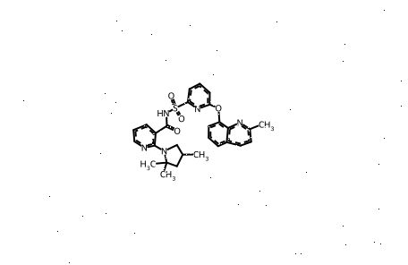 Cc1ccc2cccc(Oc3cccc(S(=O)(=O)NC(=O)c4cccnc4N4CC(C)CC4(C)C)n3)c2n1